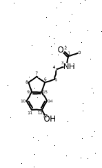 CC(=O)NCCC1CCc2ccc(O)cc21